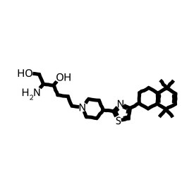 CC1(C)C=CC(C)(C)C2=C1CCC(c1csc(C3CCN(CCCC(O)C(N)CO)CC3)n1)C2